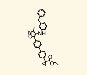 CCOC(=O)C1(c2ccc(-c3ccc(-c4onc(C)c4Nc4cccc(Cc5ccccc5)c4)cc3)cc2)CC1